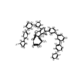 c1ccc(-c2ccc(-c3cccc(-c4cccc(-c5nc(-c6cccc(-c7cccc(-c8ccc(-c9ccccc9)cc8)c7)c6)c6oc7ccccc7c6n5)c4)c3)cc2)cc1